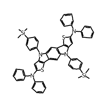 C[Si](C)(C)c1ccc(-n2c3cc4c5sc(N(c6ccccc6)c6ccccc6)cc5n(-c5ccc([Si](C)(C)C)cc5)c4cc3c3sc(N(c4ccccc4)c4ccccc4)cc32)cc1